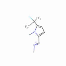 C/N=C/c1ccc(C(F)(C(F)(F)F)C(F)(F)F)n1C